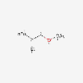 CCCCC(CC)COOC(C)=O